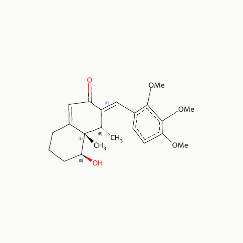 COc1ccc(/C=C2/C(=O)C=C3CCC[C@H](O)[C@@]3(C)[C@H]2C)c(OC)c1OC